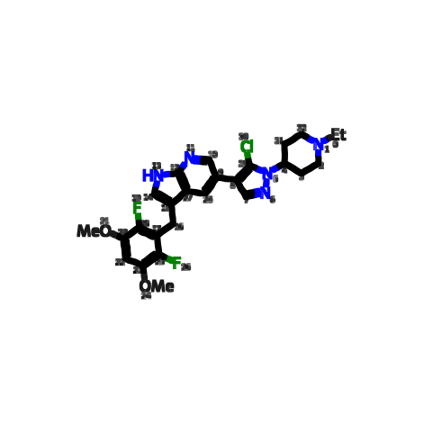 CCN1CCC(n2ncc(-c3cnc4[nH]cc(Cc5c(F)c(OC)cc(OC)c5F)c4c3)c2Cl)CC1